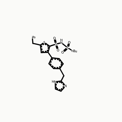 CCCCS(=O)(=O)NS(=O)(=O)c1sc(CC(C)C)cc1-c1ccc(Cc2ncc[nH]2)cc1